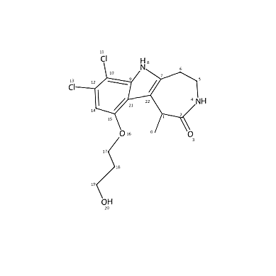 CC1C(=O)NCCc2[nH]c3c(Cl)c(Cl)cc(OCCCO)c3c21